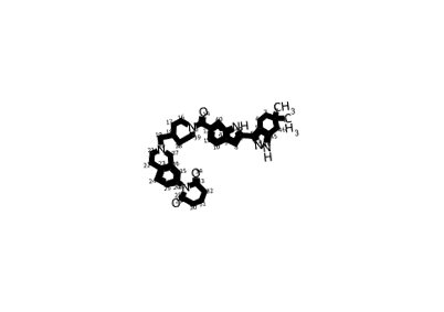 CC1(C)CCc2c(-c3cc4ccc(C(=O)N5CCC(CN6CCc7ccc(N8C(=O)CCCC8=O)cc7C6)CC5)cc4[nH]3)n[nH]c2C1